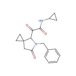 O=C(NC1CC1)C(=O)C1N(Cc2ccccc2)C(=O)CC12CC2